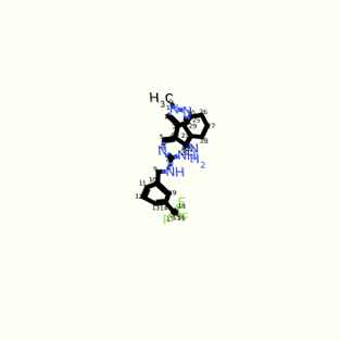 Cn1cc(C2=CN=C(NCc3cccc(C(F)(F)F)c3)NC2(N)C2CCCCC2)cn1